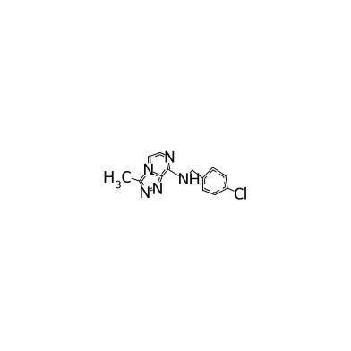 Cc1nnc2c(NCc3ccc(Cl)cc3)nccn12